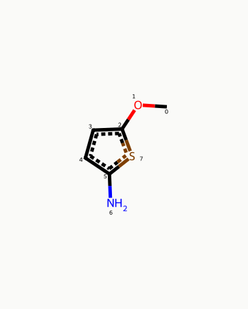 COc1ccc(N)s1